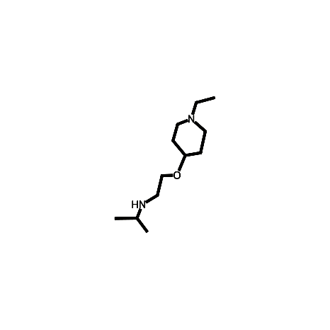 CCN1CCC(OCCNC(C)C)CC1